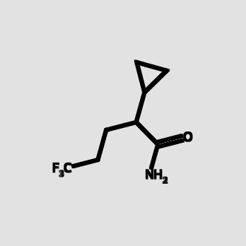 NC(=O)C(CCC(F)(F)F)C1CC1